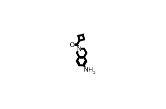 Nc1ccc2c(c1)CCN(C(=O)C1CCC1)C2